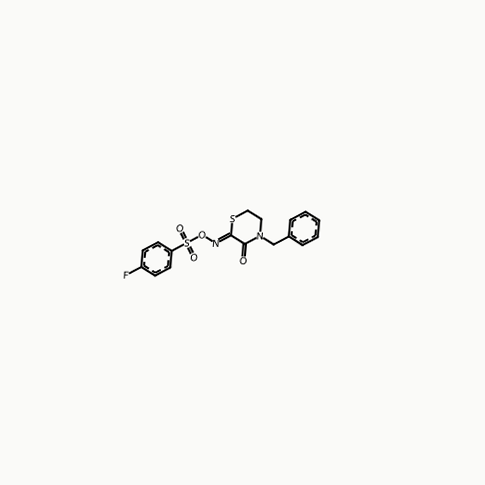 O=C1C(=NOS(=O)(=O)c2ccc(F)cc2)SCCN1Cc1ccccc1